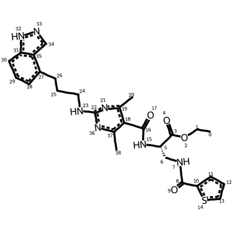 CCOC(=O)[C@H](CNC(=O)c1cccs1)NC(=O)c1c(C)nc(NCCCc2cccc3[nH]ncc23)nc1C